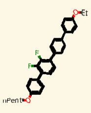 CCCCCOc1ccc(-c2ccc(-c3ccc(-c4ccc(OCC)cc4)cc3)c(F)c2F)cc1